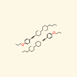 CCCC[C@H]1CC[C@H]([C@H]2CC[C@H](C#Cc3ccc(OCCC)cc3)CC2)CC1.CCCOc1ccc(C#C[C@H]2CC[C@H]([C@H]3CC[C@H](CCC)CC3)CC2)cc1